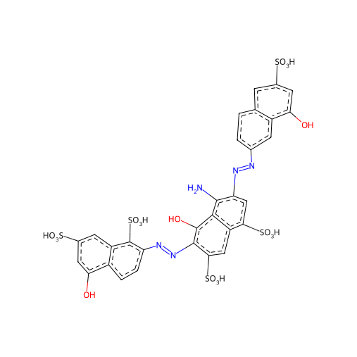 Nc1c(N=Nc2ccc3cc(S(=O)(=O)O)cc(O)c3c2)cc(S(=O)(=O)O)c2cc(S(=O)(=O)O)c(N=Nc3ccc4c(O)cc(S(=O)(=O)O)cc4c3S(=O)(=O)O)c(O)c12